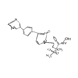 C[C@@](CCn1ccc(-c2ccc(-c3cncnc3)cc2)cc1=O)(C(=O)NO)S(C)(=O)=O